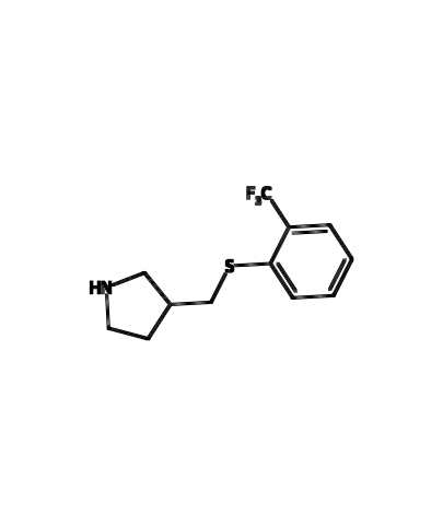 FC(F)(F)c1ccccc1SCC1CCNC1